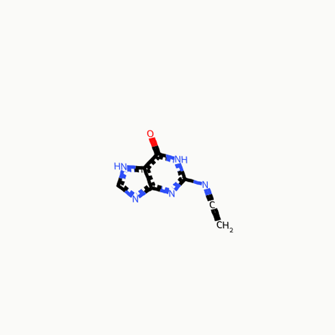 C=C=Nc1nc2nc[nH]c2c(=O)[nH]1